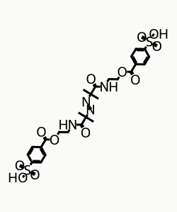 CC(C)(N=NC(C)(C)C(=O)NCCOC(=O)c1ccc(S(=O)(=O)O)cc1)C(=O)NCCOC(=O)c1ccc(S(=O)(=O)O)cc1